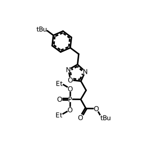 CCOP(=O)(OCC)C(Cc1nc(Cc2ccc(C(C)(C)C)cc2)no1)C(=O)OC(C)(C)C